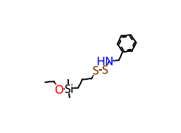 CCO[Si](C)(C)CCCSSNCc1ccccc1